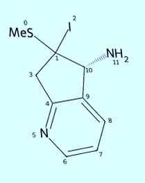 CSC1(I)Cc2ncccc2[C@H]1N